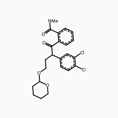 CNC(=O)c1ccccc1C(=O)C(CCOC1CCCCO1)c1ccc(Cl)c(Cl)c1